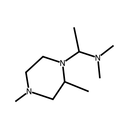 CC1CN(C)CCN1C(C)N(C)C